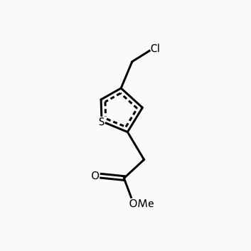 COC(=O)Cc1cc(CCl)cs1